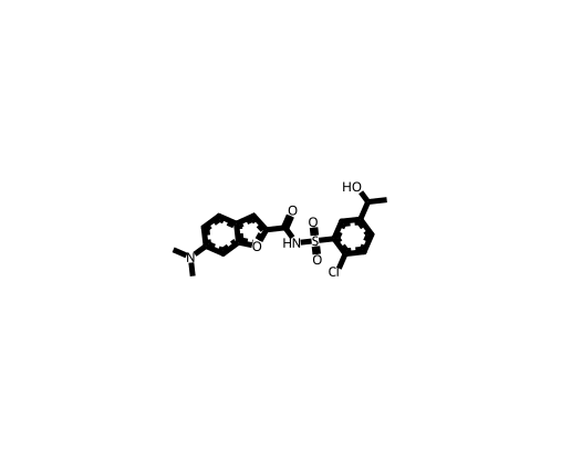 CC(O)c1ccc(Cl)c(S(=O)(=O)NC(=O)c2cc3ccc(N(C)C)cc3o2)c1